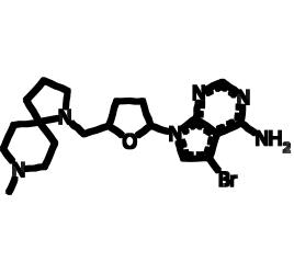 CN1CCC2(CCCN2CC2CCC(n3cc(Br)c4c(N)ncnc43)O2)CC1